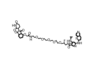 O=C(COc1cccc2c1C(=O)N(C1CCC(=O)NC1=O)C2=O)NCCOCCOCCOCCOCCOCC(F)CNC(=O)c1cnc(Nc2ccc3cnccc3n2)cc1NC1CC1